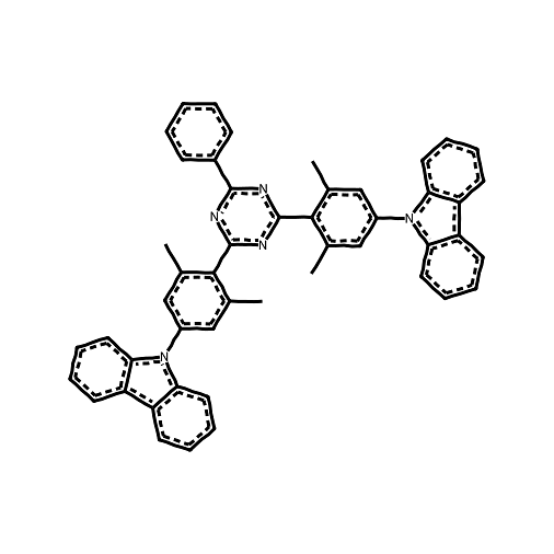 Cc1cc(-n2c3ccccc3c3ccccc32)cc(C)c1-c1nc(-c2ccccc2)nc(-c2c(C)cc(-n3c4ccccc4c4ccccc43)cc2C)n1